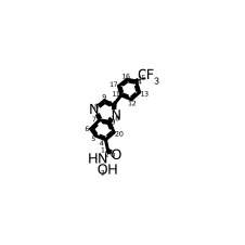 O=C(NO)c1ccc2ncc(-c3ccc(C(F)(F)F)cc3)nc2c1